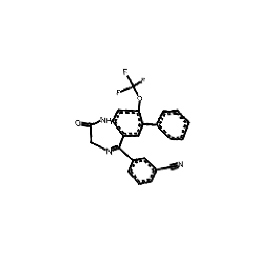 N#Cc1cccc(C2=NCC(=O)Nc3cc(OC(F)(F)F)c(-c4ccccc4)cc32)c1